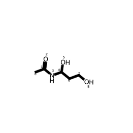 CC(=O)NC(O)CCO